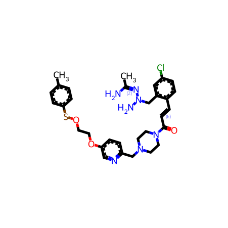 C/C(N)=N/N(N)Cc1cc(Cl)ccc1/C=C/C(=O)N1CCN(Cc2ccc(OCCOSc3ccc(C)cc3)cn2)CC1